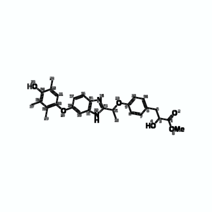 COC(=O)C(O)Cc1ccc(OC(C)c2nc3ccc(Oc4cc(C)c(O)c(C)c4C)cc3[nH]2)cc1